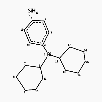 [SiH4].c1cc[c]([Bi]([CH]2CCCCC2)[CH]2CCCCC2)cc1